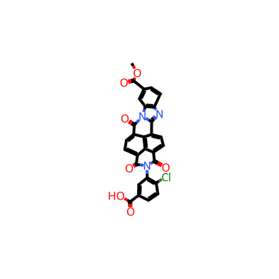 COC(=O)c1ccc2nc3c4ccc5c6c(ccc(c(=O)n3c2c1)c64)C(=O)N(c1cc(C(=O)O)ccc1Cl)C5=O